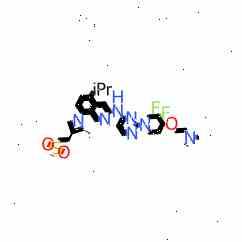 CC(C)c1ccc(N2C[C@H](CCS(C)(=O)=O)[C@H]2C)c2cnc(Nc3ccnc(N4CC[C@@H](OCCN(C)C)C(F)(F)C4)n3)cc12